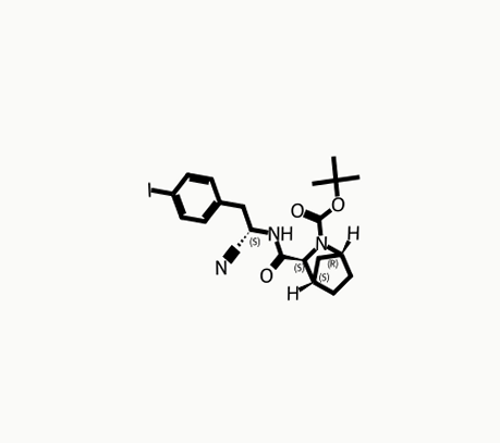 CC(C)(C)OC(=O)N1[C@@H]2CC[C@@H](C2)[C@H]1C(=O)N[C@H](C#N)Cc1ccc(I)cc1